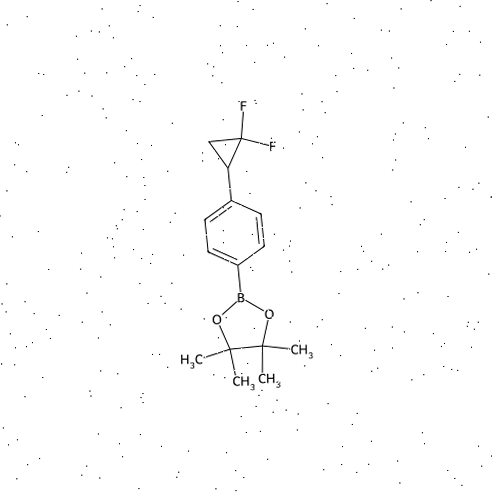 CC1(C)OB(c2ccc(C3CC3(F)F)cc2)OC1(C)C